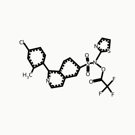 Cc1cc(Cl)ccc1-c1nccc2cc(S(=O)(=O)N(OC(=O)C(F)(F)F)c3nccs3)ccc12